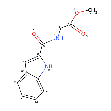 COC(=O)CNC(=O)c1cc2ccccc2[nH]1